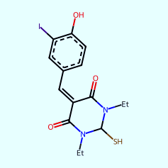 CCN1C(=O)C(=Cc2ccc(O)c(I)c2)C(=O)N(CC)C1S